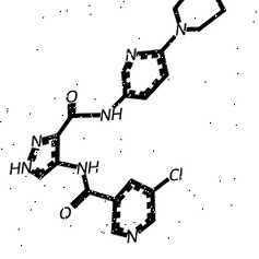 O=C(Nc1c[nH]nc1C(=O)Nc1ccc(N2CCNCC2)nc1)c1cncc(Cl)c1